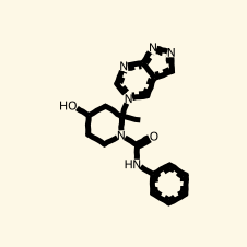 CC1(n2cnc3nncc-3c2)CC(O)CCN1C(=O)Nc1ccccc1